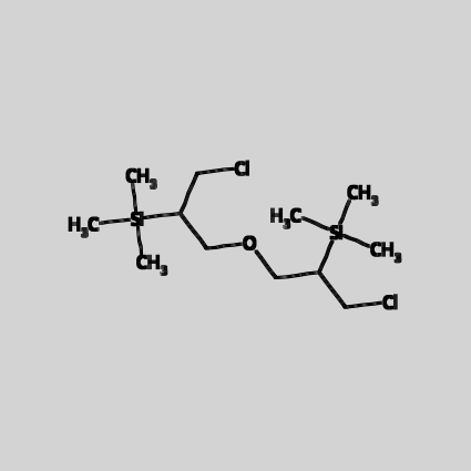 C[Si](C)(C)C(CCl)COCC(CCl)[Si](C)(C)C